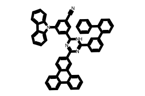 N#Cc1cc(C2N=C(c3ccc4c5ccccc5c5ccccc5c4c3)N=C(c3cccc(-c4ccccc4-c4ccccc4)c3)N2)cc(-n2c3ccccc3c3ccccc32)c1